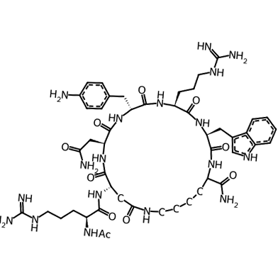 CC(=O)N[C@@H](CCCNC(=N)N)C(=O)N[C@H]1CC(=O)NCCCCC(C(N)=O)NC(=O)[C@H](Cc2c[nH]c3ccccc23)NC(=O)[C@H](CCCNC(=N)N)NC(=O)[C@@H](Cc2ccc(N)cc2)NC(=O)[C@H](CC(N)=O)NC1=O